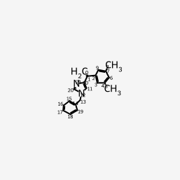 C=C(c1cc(C)cc(C)c1)c1cn(Cc2ccccc2)cn1